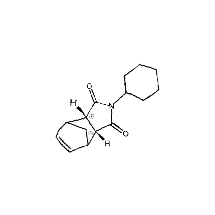 O=C1[C@@H]2C3C=CC(C3)[C@@H]2C(=O)N1C1CCCCC1